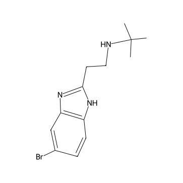 CC(C)(C)NCCc1nc2cc(Br)ccc2[nH]1